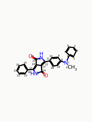 CN(c1ccccc1)c1ccc(C2=C3C(=O)NC(c4ccccc4)=C3C(=O)N2)cc1